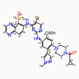 COc1cc(N2CCN(C(=O)C3CC3)CC2)c(-c2cnn(C)c2)cc1Nc1ncc(Br)c(Nc2ccc3nccnc3c2P(C)(C)=O)n1